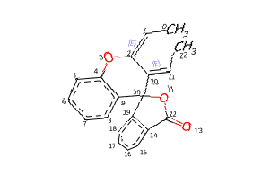 C/C=C1/Oc2ccccc2C2(OC(=O)c3ccccc32)/C1=C/C